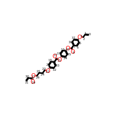 C=CCOc1ccc(C(=O)Oc2ccc(OC(=O)c3ccc(OCCCCOC(=O)C=C)cc3)cc2)cc1